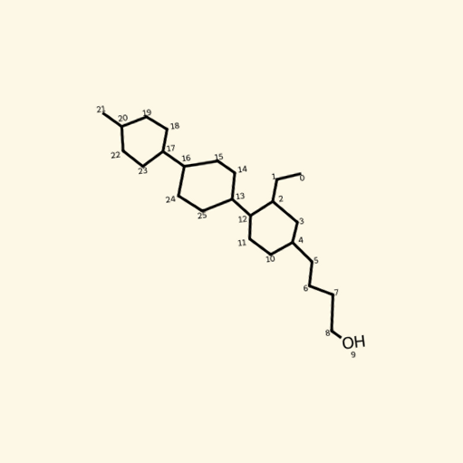 CCC1CC(CCCCO)CCC1C1CCC(C2CCC(C)CC2)CC1